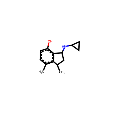 Cc1ccc(O)c2c1C(C)CC2NC1CC1